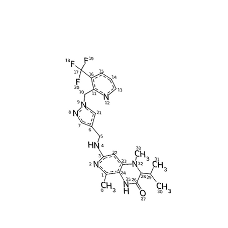 Cc1nc(NCc2cnn(Cc3ncccc3C(F)(F)F)c2)cc2c1NC(=O)C(C(C)C)N2C